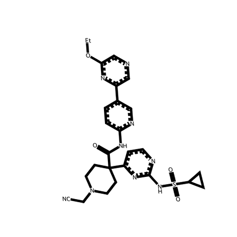 CCOc1cncc(-c2ccc(NC(=O)C3(c4ccnc(NS(=O)(=O)C5CC5)n4)CCN(CC#N)CC3)nc2)n1